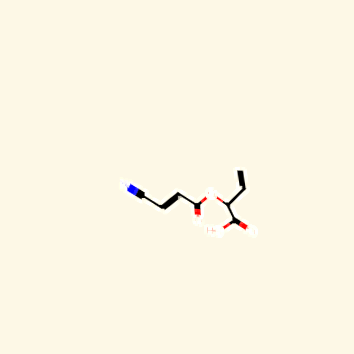 C=CC(OC(=O)C=CC#N)C(=O)O